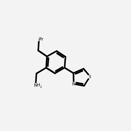 CC(C)Cc1ccc(-c2cs[c]n2)cc1CN